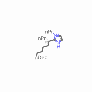 CCCCCCCCCCCCCC[C@H](CCC)c1[nH]cc[n+]1CCC